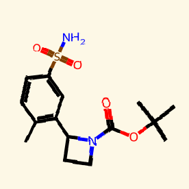 Cc1ccc(S(N)(=O)=O)cc1C1CCN1C(=O)OC(C)(C)C